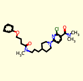 CN(C)C(=O)c1ccc(N2CCC(CCCN(C)C(=O)CCCOc3ccccc3)CC2)nc1Cl